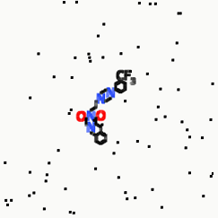 O=C1CN2Cc3ccccc3CC2C(=O)N1CCCN1CCN(c2cccc(C(F)(F)F)c2)CC1